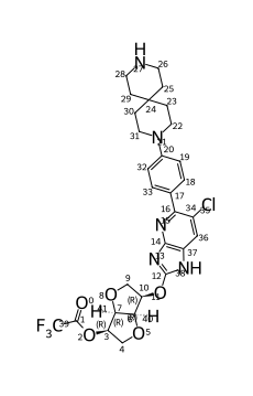 O=C(O[C@@H]1CO[C@H]2[C@@H]1OC[C@H]2Oc1nc2nc(-c3ccc(N4CCC5(CCNCC5)CC4)cc3)c(Cl)cc2[nH]1)C(F)(F)F